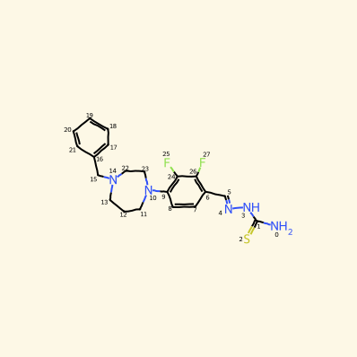 NC(=S)NN=Cc1ccc(N2CCCN(Cc3ccccc3)CC2)c(F)c1F